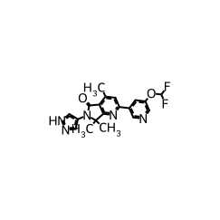 Cc1cc(-c2cncc(OC(F)F)c2)nc2c1C(=O)N(c1cn[nH]c1)C2(C)C